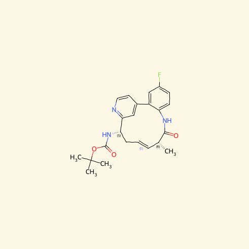 C[C@@H]1/C=C/C[C@H](NC(=O)OC(C)(C)C)c2cc(ccn2)-c2cc(F)ccc2NC1=O